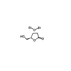 CCOCC.O=C1CC[C@H](CO)O1